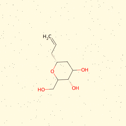 C=CC[C@@H]1CC(O)[C@H](O)C(CO)O1